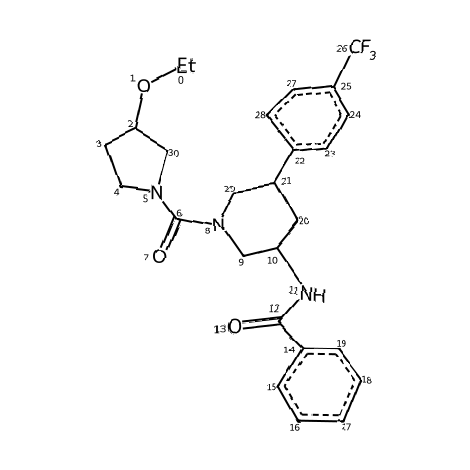 CCOC1CCN(C(=O)N2CC(NC(=O)c3ccccc3)CC(c3ccc(C(F)(F)F)cc3)C2)C1